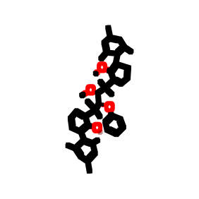 COc1c(-c2c(C)cc(C)cc2C)cccc1C(C)(C)[C@@H](OC)[C@H](Oc1ccccc1)C(C)(C)c1cccc(-c2c(C)cc(C)cc2C)c1OC